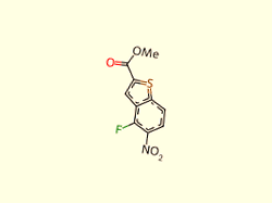 COC(=O)c1cc2c(F)c([N+](=O)[O-])ccc2s1